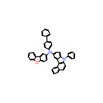 c1ccc(-c2ccc(N(c3ccc4oc5ccccc5c4c3)c3ccc4c(c3)c3c5ccccc5ccc3n4-c3ccccc3)cc2)cc1